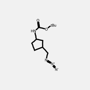 CC(C)(C)OC(=O)NC1CCC(CN=[N+]=[N-])C1